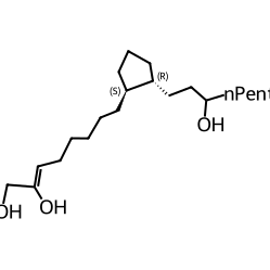 CCCCCC(O)CC[C@H]1CCC[C@@H]1CCCCCC=C(O)CO